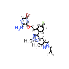 Cc1nn(CC2CC2)cc1Cc1nn(C)nc1-c1ccc(F)cc1CCOc1nc(Br)cnc1N